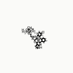 CC(C)(C)[Si](C)(C)OCCOC[C@H](Oc1nc(-c2ccccc2Cl)nc2[nH]ncc12)C(=O)Nc1ccc(Cl)cn1